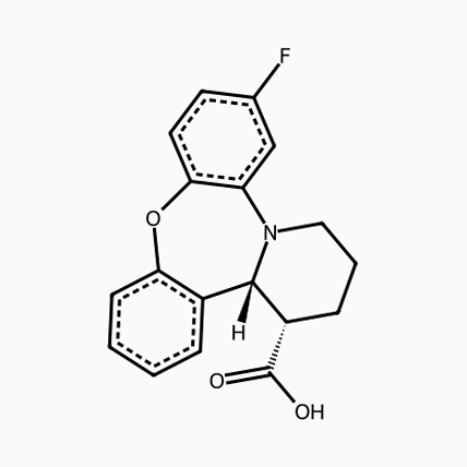 O=C(O)[C@H]1CCCN2c3cc(F)ccc3Oc3ccccc3[C@@H]12